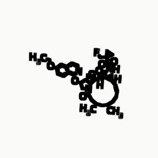 CCOc1ccc2c(O[C@@H]3C[C@H]4C(=O)N[C@]5(C(=O)NS(=O)(=O)C6(CF)CC6)C[C@H]5/C=C\CC[C@H](C)C[C@@H](C)CC(=O)N4C3)nccc2c1